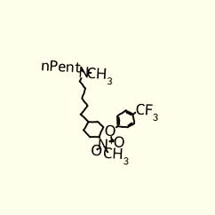 CCCCCN(C)CCCCCC1CCC([N+](C)([O-])C(=O)Oc2ccc(C(F)(F)F)cc2)CC1